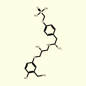 C[C@H](Cc1ccc(OCP(=O)(O)O)cc1)NC[C@H](O)COc1ccc(O)c(CO)c1